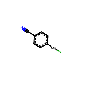 N#Cc1cc[c]([Mg][Br])cc1